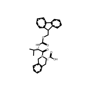 CC(C)[C@H](NC(=O)OCC1c2ccccc2-c2ccccc21)C(=O)N1Cc2ccccc2C[C@H]1C(=O)O